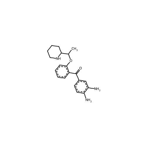 CC(Oc1ccccc1C(=O)c1ccc(N)c(N)c1)C1CCCCN1